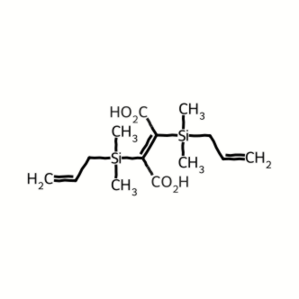 C=CC[Si](C)(C)C(C(=O)O)=C(C(=O)O)[Si](C)(C)CC=C